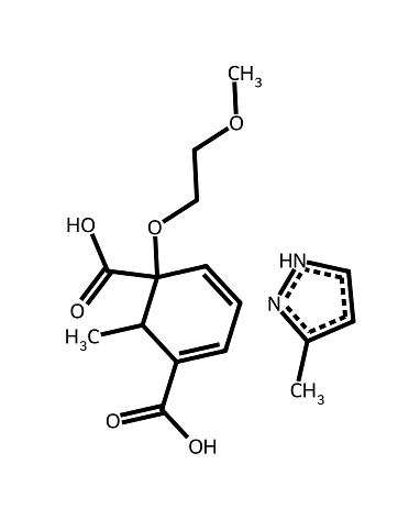 COCCOC1(C(=O)O)C=CC=C(C(=O)O)C1C.Cc1cc[nH]n1